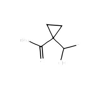 CC(F)C1(C(=O)C(C)(C)C)CC1